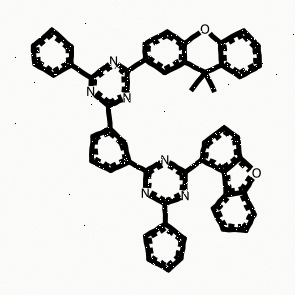 CC1(C)c2ccccc2Oc2ccc(-c3nc(-c4ccccc4)nc(-c4cccc(-c5nc(-c6ccccc6)nc(-c6cccc7oc8ccccc8c67)n5)c4)n3)cc21